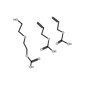 C=CCOC(=O)O.C=CCOC(=O)O.O=C(O)OCCOCCO